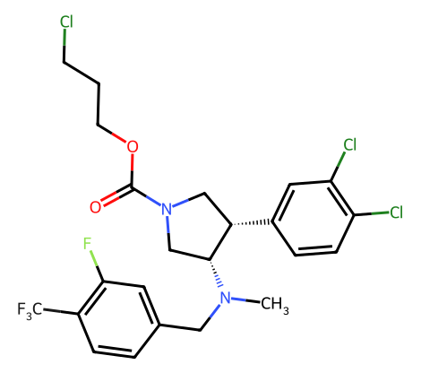 CN(Cc1ccc(C(F)(F)F)c(F)c1)[C@@H]1CN(C(=O)OCCCCl)C[C@@H]1c1ccc(Cl)c(Cl)c1